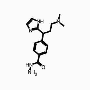 CN(C)CCC(c1ccc(C(=O)NN)cc1)c1ncc[nH]1